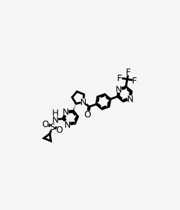 O=C(c1ccc(-c2cncc(C(F)(F)F)n2)cc1)N1CCC[C@H]1c1ccnc(NS(=O)(=O)C2CC2)n1